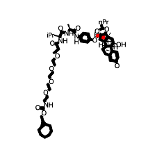 CCCC1O[C@@H]2C[C@H]3[C@@H]4CCC5=CC(=O)C=C[C@]5(C)[C@H]4[C@@H](O)C[C@]3(C)[C@]2(C(=O)COc2ccc(NC(=O)[C@H](C)NC(=O)[C@@H](NC(=O)CCOCCOCCOCCOCCNC(=O)OCC3C4CCCCCCC43)C(C)C)cc2)O1